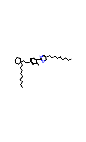 CCCCCCCCCc1cnc(-c2ccc(CCC3(CCCCCCCCC)CCCCC3)cc2C)nc1